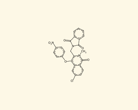 Cn1c(CN2C(=O)c3ccccc3C2=O)c(Oc2ccc([N+](=O)[O-])cc2)c2cc(Cl)ccc2c1=O